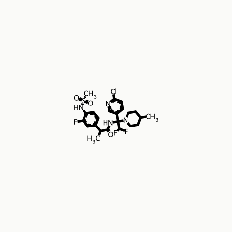 CC1CCN(C(NC(=O)C(C)c2ccc(NS(C)(=O)=O)c(F)c2)(c2ccc(Cl)nc2)C(F)F)CC1